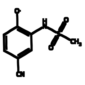 CS(=O)(=O)Nc1cc(C#N)ccc1[O]